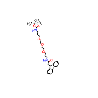 CC(C)(C)OC(=O)NCCCOCCOCCOCCCNC(=O)CC1c2ccccc2-c2ccccc21